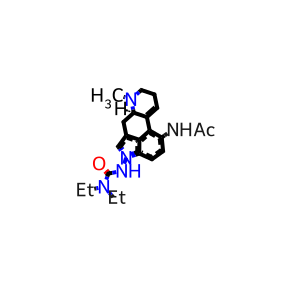 CCN(CC)C(=O)Nn1cc2c3c(c(NC(C)=O)ccc31)C1=CCCN(C)[C@@H]1C2